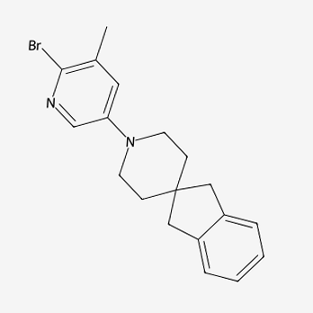 Cc1cc(N2CCC3(CC2)Cc2ccccc2C3)cnc1Br